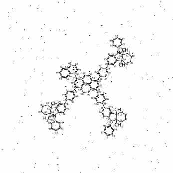 CC12CCCCC1(C)N(c1ccccc1)c1ccc(-c3ccc(-c4cc(-c5ccc(-c6ccc7c(c6)C6(C)CCCCC6(C)N7c6ccccc6)cc5)c5ccc6c(-c7cccc8ccccc78)cc(-c7ccc(-c8ccc9c(c8)C8(C)CCCCC8(C)N9c8ccccc8)cc7)c7ccc4c5c76)cc3)cc12